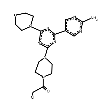 Nc1ncc(-c2nc(N3CCOCC3)nc(N3CCN(C(=O)CCl)CC3)n2)cn1